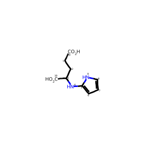 O=C(O)CCC(Nc1ccc[nH]1)C(=O)O